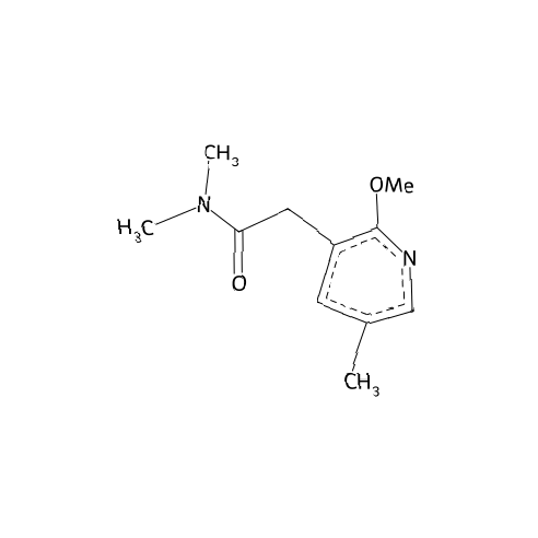 COc1ncc(C)cc1CC(=O)N(C)C